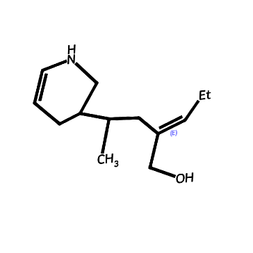 CC/C=C(/CO)CC(C)C1CC=CNC1